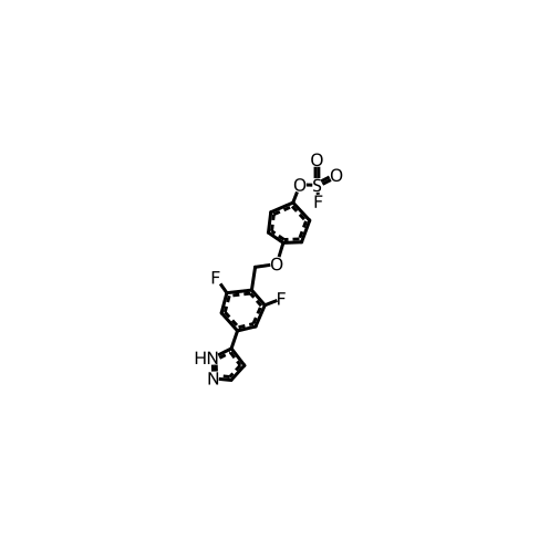 O=S(=O)(F)Oc1ccc(OCc2c(F)cc(-c3ccn[nH]3)cc2F)cc1